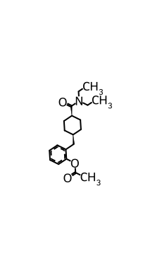 CCN(CC)C(=O)[C@H]1CC[C@@H](Cc2ccccc2OC(C)=O)CC1